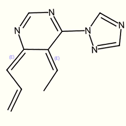 C=C/C=c1/ncnc(-n2cncn2)/c1=C/C